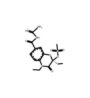 CCN1C(=O)[C@](CC)(OS(C)(=O)=O)Oc2cc(C(=O)NC(=N)N)ccc21